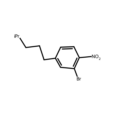 CC(C)CCCc1ccc([N+](=O)[O-])c(Br)c1